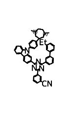 CCC1(c2ccc(-n3c4ccccc4c4ccc(-c5nc(-c6cccc(C#N)c6)nc(-c6cccc(-c7ccccc7)c6)n5)cc43)cc2)C[C@H](C)CC[C@H](C)C1